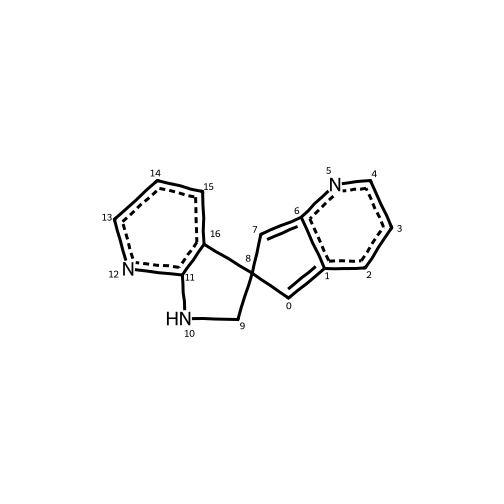 C1=c2cccnc2=CC12CNc1ncccc12